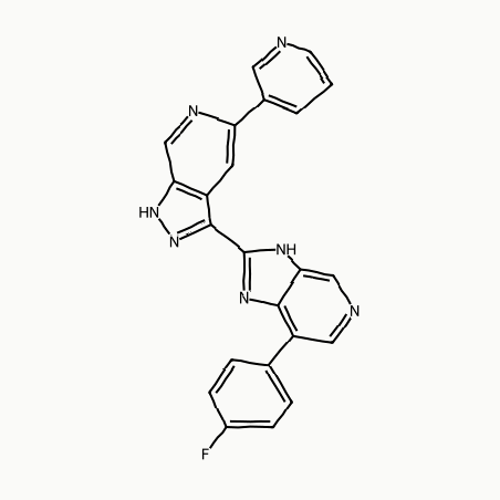 Fc1ccc(-c2cncc3[nH]c(-c4n[nH]c5cnc(-c6cccnc6)cc45)nc23)cc1